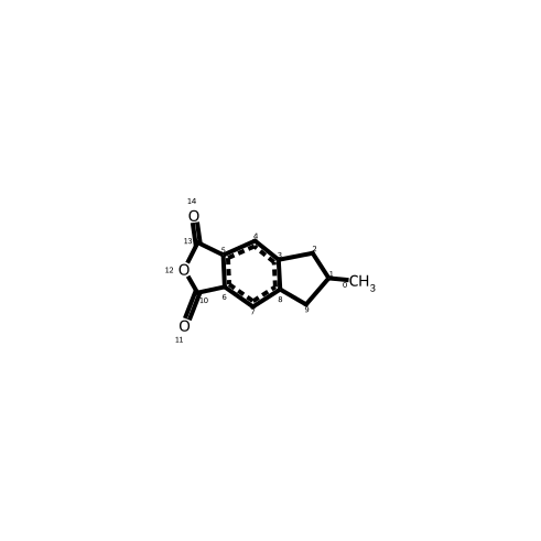 CC1Cc2cc3c(cc2C1)C(=O)OC3=O